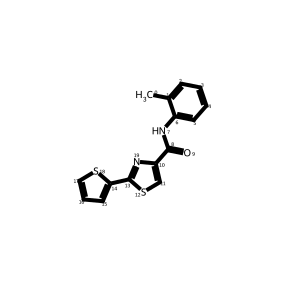 Cc1ccccc1NC(=O)c1csc(-c2cccs2)n1